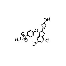 CS(=O)(=O)c1ccc(O[C@H]2c3cc(Cl)cc(Cl)c3C[C@@H]2N2CC(O)C2)cc1